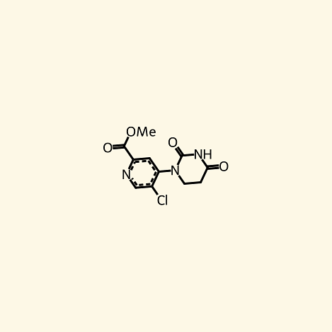 COC(=O)c1cc(N2CCC(=O)NC2=O)c(Cl)cn1